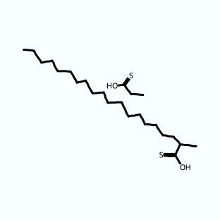 CCC(O)=S.CCCCCCCCCCCCCCCCCCC(C)C(O)=S